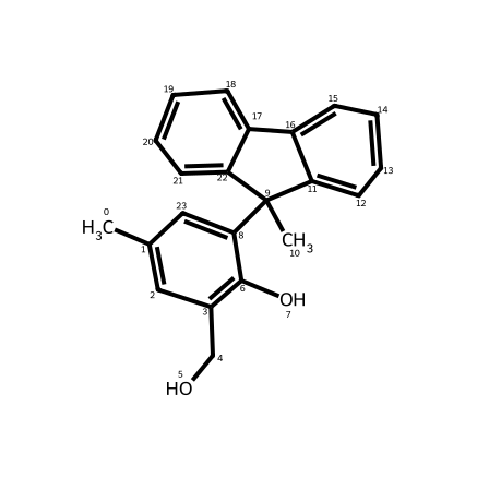 Cc1cc(CO)c(O)c(C2(C)c3ccccc3-c3ccccc32)c1